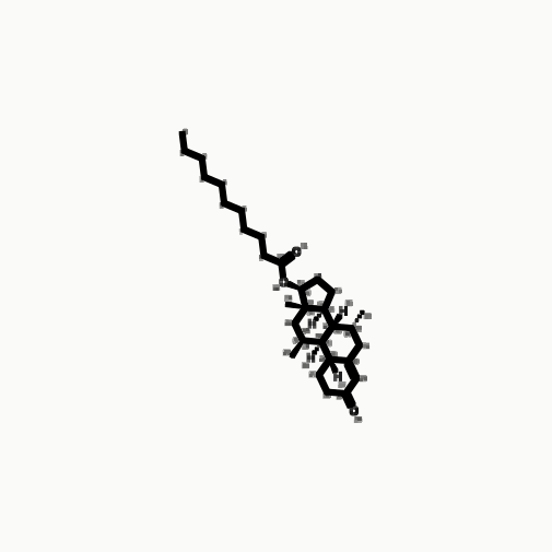 CCCCCCCCCCC(=O)O[C@H]1CC[C@H]2[C@H]3[C@H]([C@@H](C)C[C@]12C)[C@H]1CCC(=O)C=C1C[C@H]3C